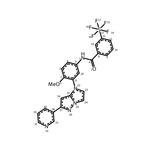 COc1ccc(NC(=O)c2cccc(S(F)(F)(F)(F)F)c2)cc1-n1ccn2nc(-c3cccnc3)cc12